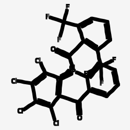 O=C(c1ccccc1[P](=O)C(=O)c1c(C(F)(F)F)cccc1C(F)(F)F)c1c(Cl)c(Cl)c(Cl)c(Cl)c1Cl